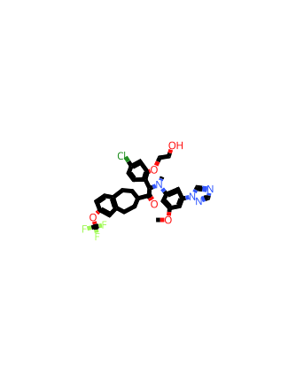 COc1cc(N(C)C(C(=O)C2CCc3ccc(OC(F)(F)F)cc3CC2)c2ccc(Cl)cc2OCCO)cc(-n2cncn2)c1